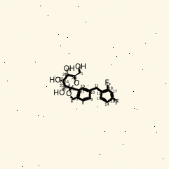 OC[C@H]1O[C@]2(OCc3ccc(Cc4ccc(F)cc4F)cc32)[C@H](O)[C@@H](O)[C@@H]1O